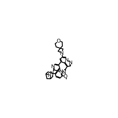 COc1ccc(CN2C3CC2CN(c2ccc(-c4cc(N5CC6(CCOCC6)C5)cn5ncc(C#N)c45)cn2)C3)cn1